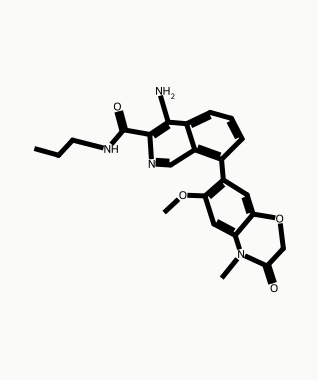 CCCNC(=O)c1ncc2c(-c3cc4c(cc3OC)N(C)C(=O)CO4)cccc2c1N